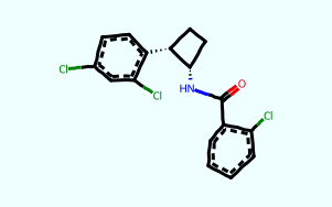 O=C(N[C@H]1CC[C@H]1c1ccc(Cl)cc1Cl)c1ccccc1Cl